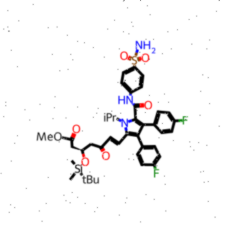 COC(=O)C[C@@H](CC(=O)C=Cc1c(-c2ccc(F)cc2)c(-c2ccc(F)cc2)c(C(=O)Nc2ccc(S(N)(=O)=O)cc2)n1C(C)C)O[Si](C)(C)C(C)(C)C